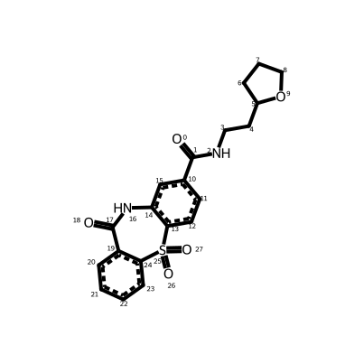 O=C(NCCC1CCCO1)c1ccc2c(c1)NC(=O)c1ccccc1S2(=O)=O